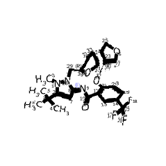 Cn1c(C(C)(C)C)c/c(=N\C(=O)c2cc(C(F)(F)F)ccc2O[C@@H]2CCOC2)n1C[C@H]1CCCO1